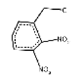 O=[N+]([O-])c1cccc(CCl)c1[N+](=O)[O-]